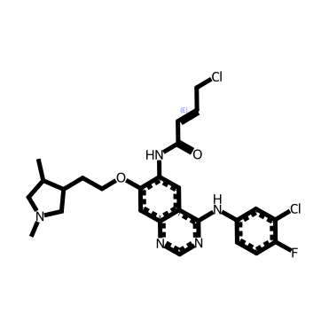 CC1CN(C)CC1CCOc1cc2ncnc(Nc3ccc(F)c(Cl)c3)c2cc1NC(=O)/C=C/CCl